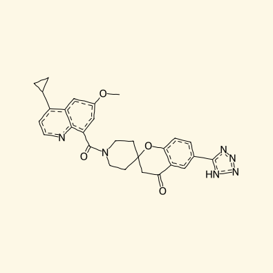 COc1cc(C(=O)N2CCC3(CC2)CC(=O)c2cc(-c4nnn[nH]4)ccc2O3)c2nccc(C3CC3)c2c1